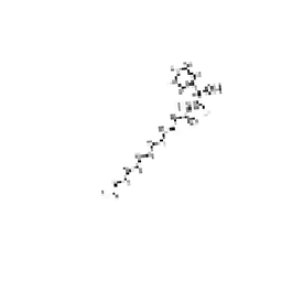 CCCCCCCCCCCCCC(=O)N[C@H](C)[C@H](O)c1ccccc1